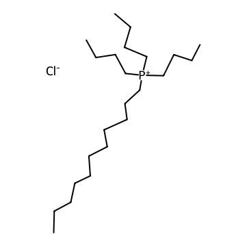 CCCCCCCCCCC[P+](CCCC)(CCCC)CCCC.[Cl-]